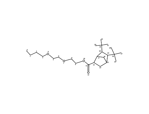 CCCCOCCOCCOC(=O)C1CC2CC1C(C(C)(C)C)C2C(C)(C)C